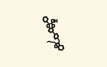 CCCCc1oc2ccccc2c1Cc1ccc(-c2ccc(OC(C(=O)O)c3ccccc3)cc2)cc1